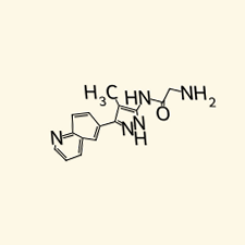 Cc1c(-c2ccc3ncccc3c2)n[nH]c1NC(=O)CN